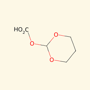 O=C(O)OC1OCCCO1